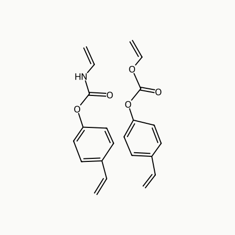 C=CNC(=O)Oc1ccc(C=C)cc1.C=COC(=O)Oc1ccc(C=C)cc1